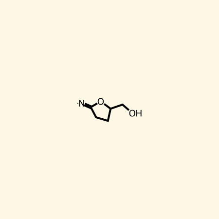 [N]=C1CCC(CO)O1